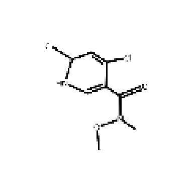 CON(C)C(=O)C1=CNC(Cl)C=C1Cl